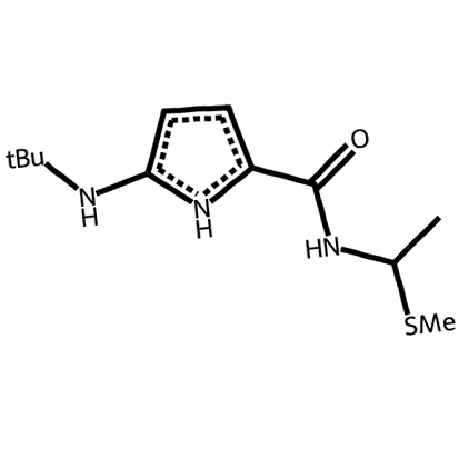 CSC(C)NC(=O)c1ccc(NC(C)(C)C)[nH]1